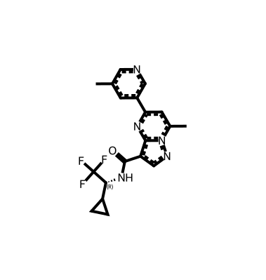 Cc1cncc(-c2cc(C)n3ncc(C(=O)N[C@H](C4CC4)C(F)(F)F)c3n2)c1